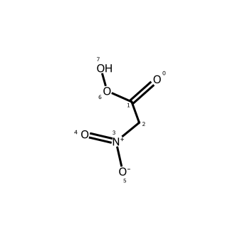 O=C(C[N+](=O)[O-])OO